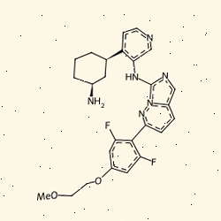 COCCOc1cc(F)c(-c2ccc3cnc(Nc4cnccc4[C@@H]4CCC[C@H](N)C4)n3n2)c(F)c1